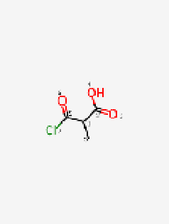 CC(C(=O)O)C(=O)Cl